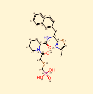 Cc1csc(C(Cc2ccc3ccccc3c2)NC(=O)[C@@H]2CCCCN2C(=O)CSCP(=O)(O)O)n1